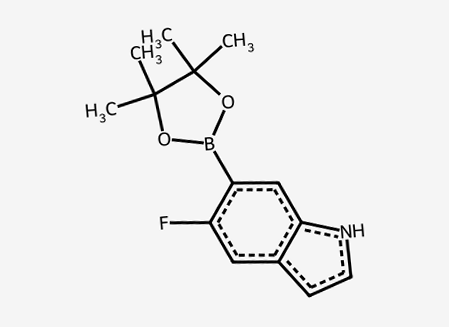 CC1(C)OB(c2cc3[nH]ccc3cc2F)OC1(C)C